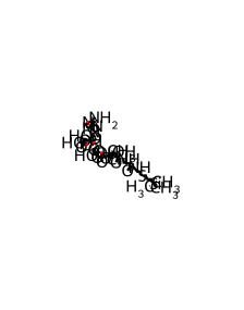 CC(C)(COP(=O)(O)OP(=O)(O)OC[C@H]1O[C@@H](n2cnc3c(N)ncnc32)[C@H](O)[C@@H]1OP(=O)(O)O)[C@@H](O)C(=O)NCCC(=O)NCCSCC=C[Si](C)(C)C